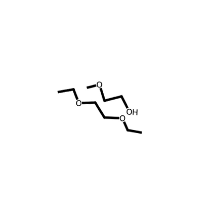 CCOCCOCC.COCCO